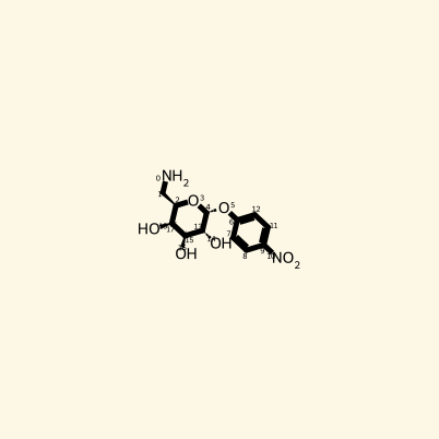 NC[C@H]1O[C@H](Oc2ccc([N+](=O)[O-])cc2)[C@H](O)[C@@H](O)[C@H]1O